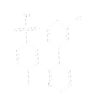 NS(=O)(=O)c1ccc(F)c(-c2ncccc2-c2cccc(C(F)(F)F)c2)c1